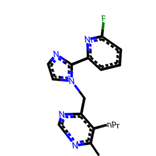 CCCc1c(C)ncnc1Cn1ccnc1-c1cccc(F)n1